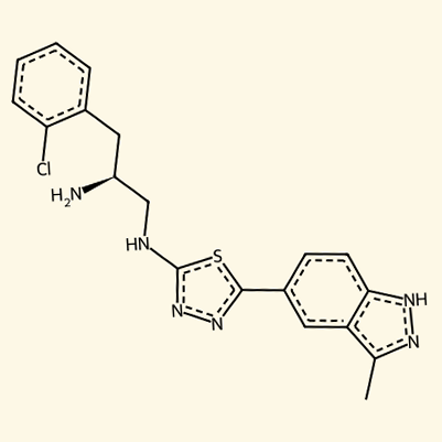 Cc1n[nH]c2ccc(-c3nnc(NC[C@@H](N)Cc4ccccc4Cl)s3)cc12